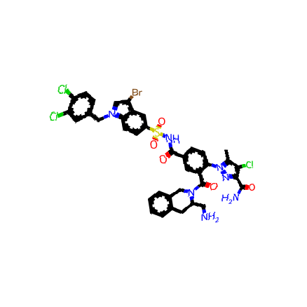 Cc1c(Cl)c(C(N)=O)nn1-c1ccc(C(=O)NS(=O)(=O)c2ccc3c(c2)c(Br)cn3Cc2ccc(Cl)c(Cl)c2)cc1C(=O)N1Cc2ccccc2CC1CN